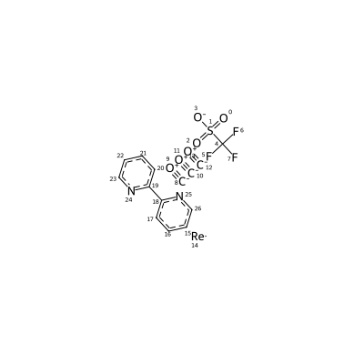 O=S(=O)([O-])C(F)(F)F.[C-]#[O+].[C-]#[O+].[C-]#[O+].[Re].c1ccc(-c2ccccn2)nc1